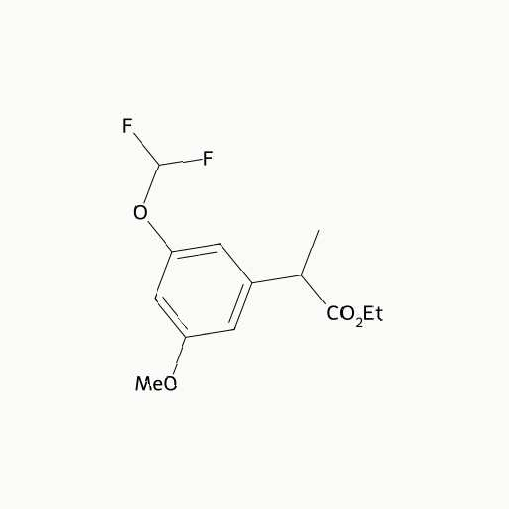 CCOC(=O)C(C)c1cc(OC)cc(OC(F)F)c1